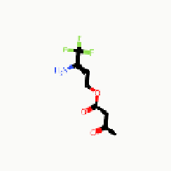 CC(=O)CC(=O)OCC=C(N)C(F)(F)F